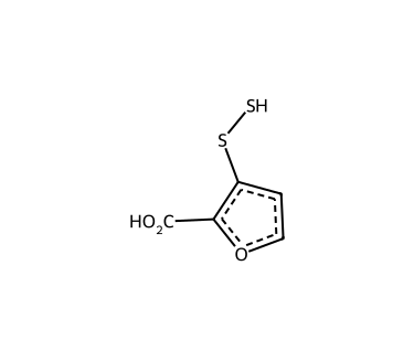 O=C(O)c1occc1SS